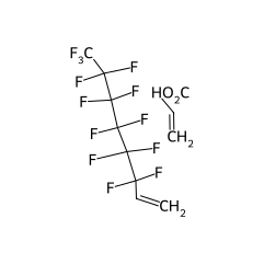 C=CC(=O)O.C=CC(F)(F)C(F)(F)C(F)(F)C(F)(F)C(F)(F)C(F)(F)F